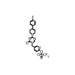 O=c1nc(N2CC=C(c3ccc(F)cc3)CC2)ncn1Cc1ccc(OS(=O)(=O)C(F)(F)F)nc1